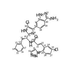 Nc1n[nH]c2cc(-c3nc([C@H](Cc4ccccc4)NC(=O)C=Cc4cc(Cl)ccc4-n4ccnn4)[nH]c3Cl)ccc12